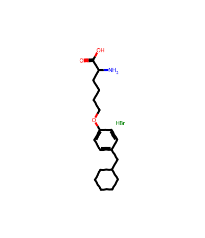 Br.NC(CCCCOc1ccc(CC2CCCCC2)cc1)C(=O)O